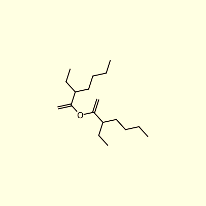 C=C(OC(=C)C(CC)CCCC)C(CC)CCCC